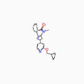 Cn1c(=O)c2ccccc2n2nc(-c3ccnc(OCC4CC4)c3)cc12